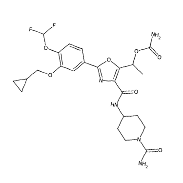 CC(OC(N)=O)c1oc(-c2ccc(OC(F)F)c(OCC3CC3)c2)nc1C(=O)NC1CCN(C(N)=O)CC1